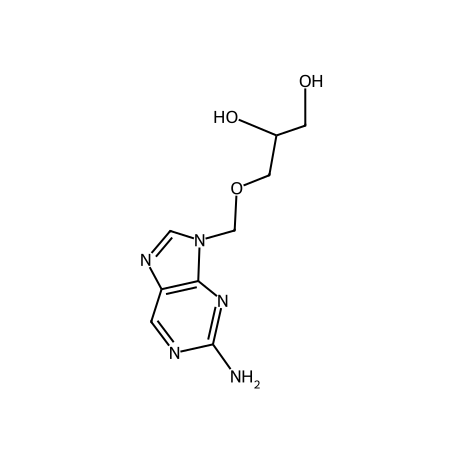 Nc1ncc2ncn(COCC(O)CO)c2n1